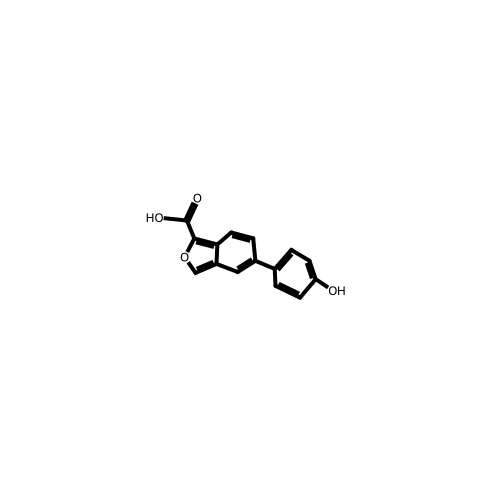 O=C(O)c1occ2cc(-c3ccc(O)cc3)ccc12